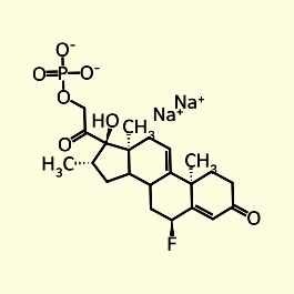 C[C@H]1CC2C3C[C@H](F)C4=CC(=O)CC[C@]4(C)C3=CC[C@]2(C)[C@@]1(O)C(=O)COP(=O)([O-])[O-].[Na+].[Na+]